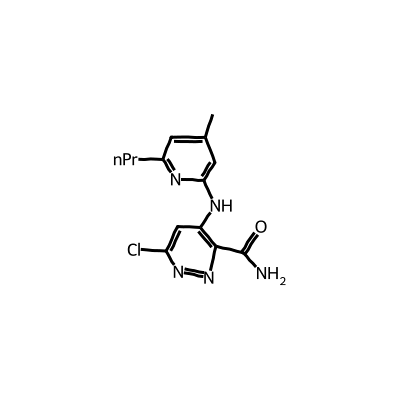 CCCc1cc(C)cc(Nc2cc(Cl)nnc2C(N)=O)n1